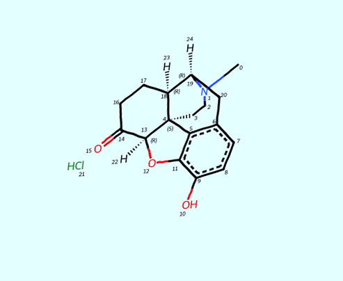 CN1CC[C@]23c4c5ccc(O)c4O[C@H]2C(=O)CC[C@H]3[C@H]1C5.Cl